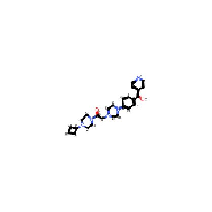 O=C(c1ccncc1)c1ccc(N2CCN(CC(=O)N3CCN(C4CCC4)CC3)CC2)cc1